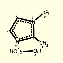 CCCn1ccnc1C.O=S(=O)(O)O